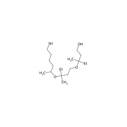 CCC(C)(CCO)OCCC(C)(CC)OC(C)CCCCS